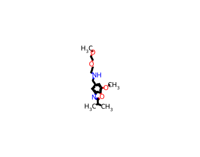 COCCOCCNCc1cc(OC)c2oc(C(C)C)nc2c1